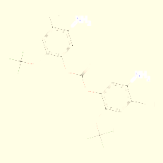 Cc1cc(OC(F)(F)F)c(OC(=O)Oc2cc(N)c(C)cc2OC(F)(F)F)cc1N